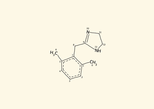 Cc1cccc(C)c1CC1=NCCN1